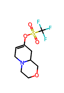 O=S(=O)(OC1=CCN2CCOCC2C1)C(F)(F)F